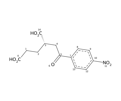 O=C(O)CC[C@@H](CC(=O)c1ccc([N+](=O)[O-])cc1)C(=O)O